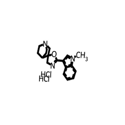 Cl.Cl.Cn1cc(C2=NCC3(CN4CCC3CC4)O2)c2ccccc21